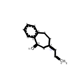 C=C/C=C1/CCc2ccccc2C(=O)C1